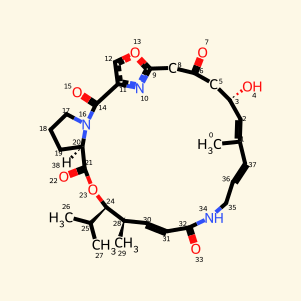 CC1=C\[C@@H](O)CC(=O)Cc2nc(co2)C(=O)N2CCC[C@@H]2C(=O)O[C@H](C(C)C)[C@H](C)/C=C/C(=O)NC\C=C\1